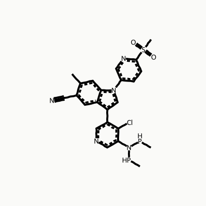 CPN(PC)c1cncc(-c2cn(-c3ccc(S(C)(=O)=O)nc3)c3cc(C)c(C#N)cc23)c1Cl